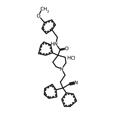 COc1ccc(CNC(=O)C2(c3ccccc3)CCN(CCC(C#N)(c3ccccc3)c3ccccc3)CC2)cc1.Cl